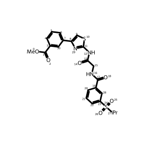 COC(=O)c1cccc(-c2csc(NC(=O)CNC(=O)c3cccc(S(=O)(=O)C(C)C)c3)n2)c1